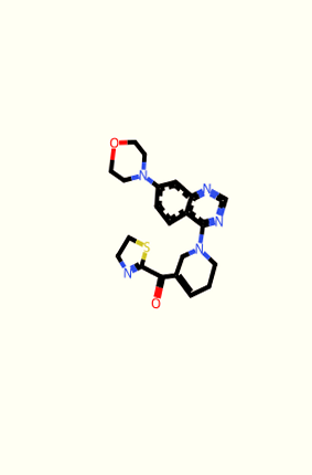 O=C(C1=CCCN(c2ncnc3cc(N4CCOCC4)ccc23)C1)C1=NCCS1